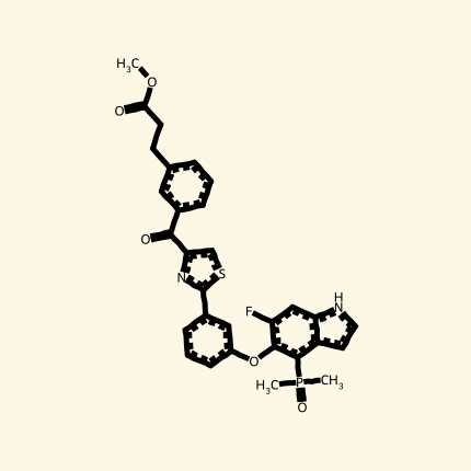 COC(=O)CCc1cccc(C(=O)c2csc(-c3cccc(Oc4c(F)cc5[nH]ccc5c4P(C)(C)=O)c3)n2)c1